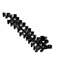 CCO[Si](OCC)(OCC)C(F)(F)C(F)(F)C(F)(F)C(F)(F)C(F)(F)C(F)(F)C(F)(F)C(F)(F)C(F)(F)C(F)(F)C(F)(F)C(F)(F)F